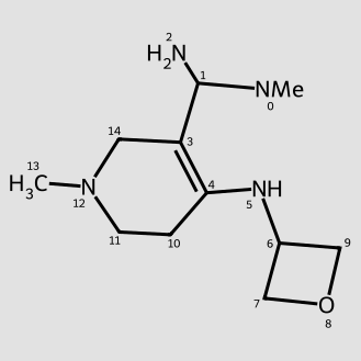 CNC(N)C1=C(NC2COC2)CCN(C)C1